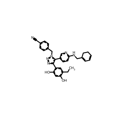 CCc1cc(-c2nnn(Cc3ccc(C#N)cc3)c2-c2ccc(NCC3=CC=CCC3)nc2)c(O)cc1O